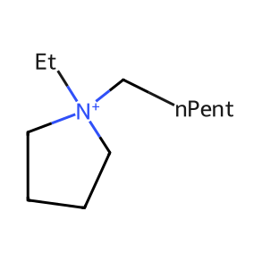 CCCCCC[N+]1(CC)CCCC1